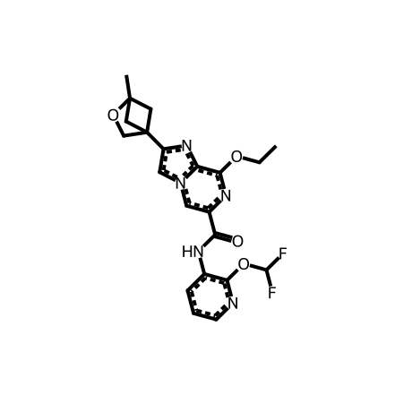 CCOc1nc(C(=O)Nc2cccnc2OC(F)F)cn2cc(C34COC(C)(C3)C4)nc12